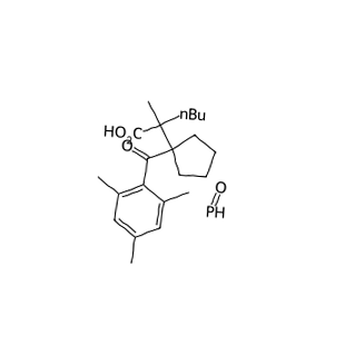 CCCCC(C)(C(=O)O)C1(C(=O)c2c(C)cc(C)cc2C)CCCC1.O=P